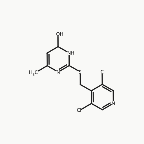 CC1=CC(O)NC(SCc2c(Cl)cncc2Cl)=N1